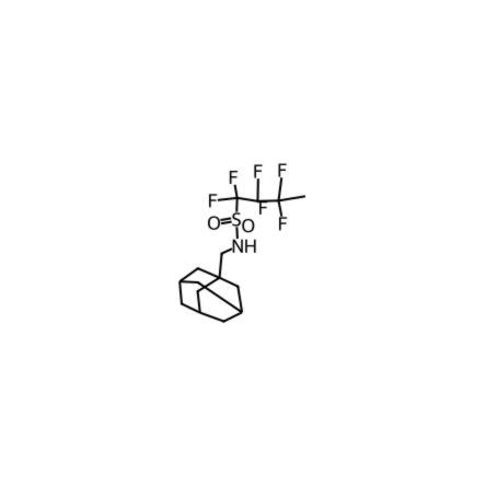 CC(F)(F)C(F)(F)C(F)(F)S(=O)(=O)NCC12CC3CC(CC(C3)C1)C2